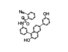 N#Cc1ccccc1S(=O)(=O)Nc1cccc(-c2c(O)ccc3cc(-c4cccc(O)c4)ccc23)c1